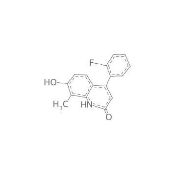 Cc1c(O)ccc2c(-c3ccccc3F)cc(=O)[nH]c12